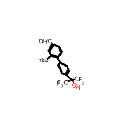 CC(C)(C)c1cc(C=O)ccc1-c1ccc(C(O)(C(F)(F)F)C(F)(F)F)cc1